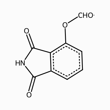 O=[C]Oc1cccc2c1C(=O)NC2=O